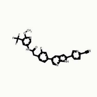 COc1ncc(NC(=O)Cc2ccc(-c3cnc4[nH]c(-c5ccc(C#N)nc5)cc4c3)cc2F)cc1C(F)(F)F